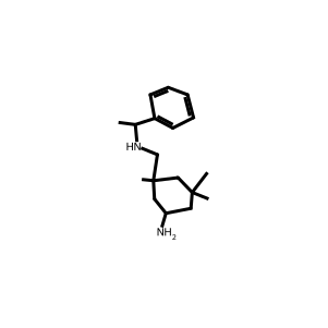 CC(NCC1(C)CC(N)CC(C)(C)C1)c1ccccc1